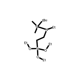 CCO[Si](CCN(CC)[Si](C)(C)C(C)(C)C)(OCC)OCC